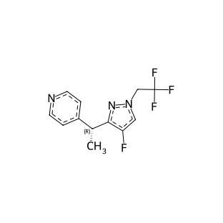 C[C@H](c1ccncc1)c1nn(CC(F)(F)F)cc1F